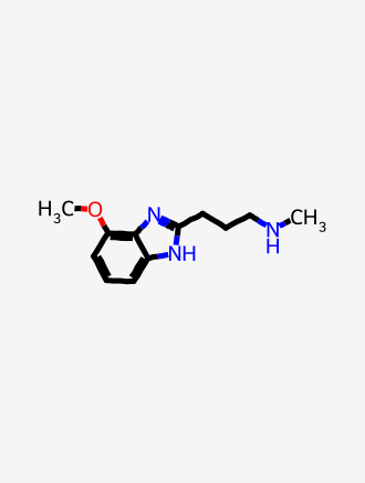 CNCCCc1nc2c(OC)cccc2[nH]1